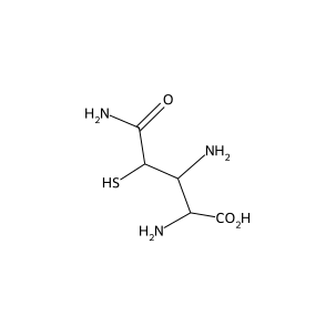 NC(=O)C(S)C(N)C(N)C(=O)O